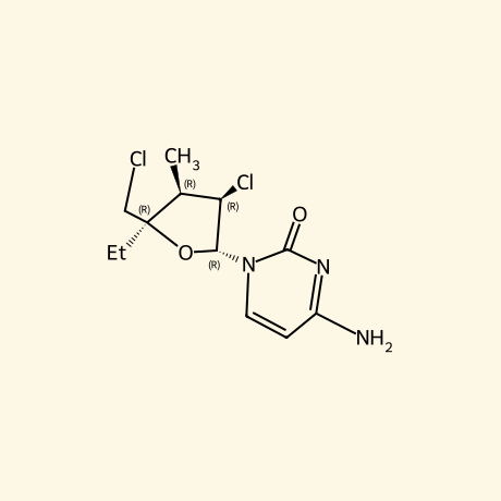 CC[C@@]1(CCl)O[C@@H](n2ccc(N)nc2=O)[C@H](Cl)[C@@H]1C